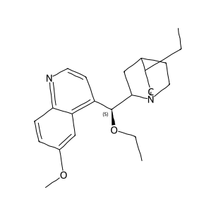 CCO[C@@H](c1ccnc2ccc(OC)cc12)C1CC2CCN1CC2CC